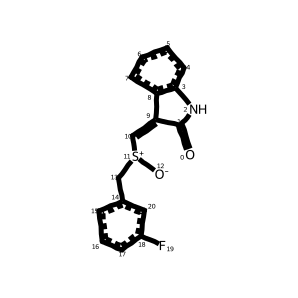 O=C1Nc2ccccc2C1=C[S+]([O-])Cc1cccc(F)c1